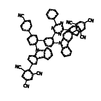 N#Cc1ccc(-c2ccc(-n3c4ccccc4c4cc(-c5c(C#N)cc(C#N)cc5C#N)ccc43)c(-c3ccc(-n4c5ccccc5c5cc(-c6c(C#N)cc(C#N)cc6C#N)ccc54)c(-c4nc(-c5ccccc5)nc(-c5ccccc5)n4)c3)c2)cc1